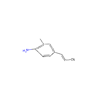 Cc1cc(C=CC#N)ccc1N